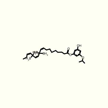 BC(B)(/C=C\CC)/C=C\C(B)(B)/C=C\CCCCCCCC(=O)Oc1cc(O)cc(OC(C)C)c1